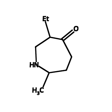 CCC1CNC(C)CCC1=O